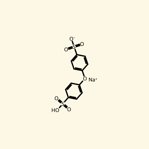 O=S(=O)([O-])c1ccc(Oc2ccc(S(=O)(=O)O)cc2)cc1.[Na+]